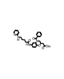 O=C(O)CC1CN(C(=O)c2ccccc2)c2cc(NC(=O)CCCCNc3ccccn3)ccc2O1